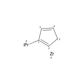 CC(C)C1=C[CH]C=C1.[Zr]